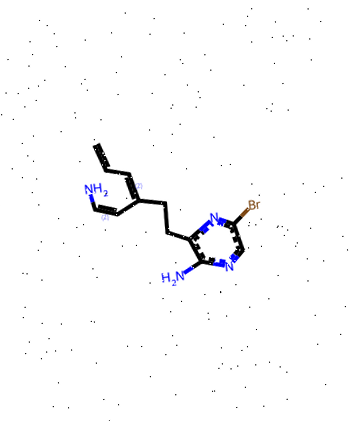 C=C/C=C(\C=C/N)CCc1nc(Br)cnc1N